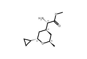 COC(=O)[C@@H](N)[C@H]1C[C@@H](C)O[C@H](C2CC2)C1